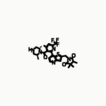 Cc1cc(C(F)(F)F)nc(-c2ccnc3cc(CN4C(=O)C(C)C(C)(C)C4=O)sc23)c1C(=O)N1[C@@H](C)CN(I)C[C@@H]1C